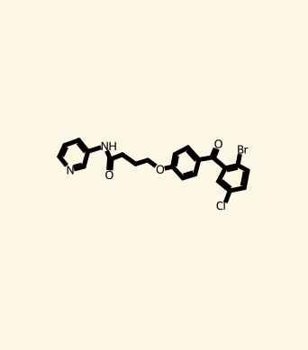 O=C(CCCOc1ccc(C(=O)c2cc(Cl)ccc2Br)cc1)Nc1cccnc1